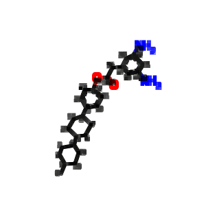 CC1CCC(C2CCC(c3ccc(OC(=O)Cc4cc(N)cc(N)c4)cc3)CC2)CC1